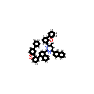 CC1=C(c2cccc3c2oc2ccccc23)N=C(c2ccc(-c3cccc4oc5ccc(-c6ccccc6)cc5c34)c3ccccc23)N=C(c2ccc3ccccc3c2)C1